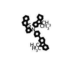 CC1(C)c2ccccc2-c2ccc(-c3ccc(N(c4ccc5c(c4)C(C)(C)c4ccccc4-5)c4cccc5c4sc4c6ccccc6ccc54)cc3)cc21